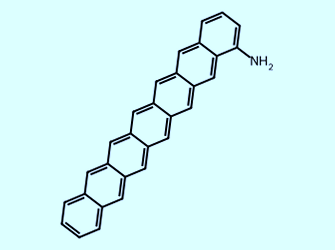 Nc1cccc2cc3cc4cc5cc6cc7ccccc7cc6cc5cc4cc3cc12